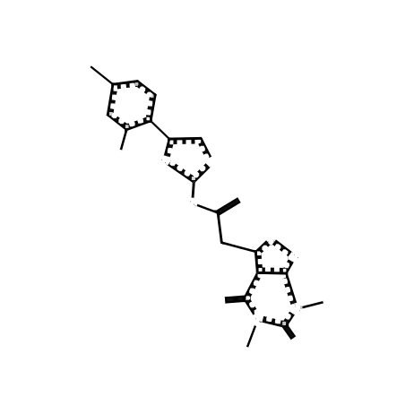 Cc1ccc(-c2csc(NC(=O)Cc3snc4c3c(=O)n(C)c(=O)n4C)n2)c(F)c1